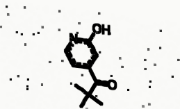 CC(C)(C)C(=O)c1ccnc(O)c1